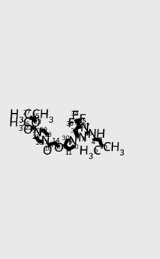 CC(C)CCNc1nc(N2CCC(OCC(=O)N3CCN(C(=O)OC(C)(C)C)CC3)C2)cc(C(F)(F)F)n1